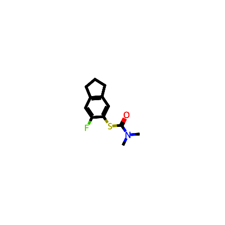 CN(C)C(=O)Sc1cc2c(cc1F)CCC2